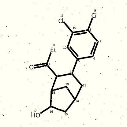 CCC(=O)C1C(c2ccc(Cl)c(Cl)c2)CC2CC(O)C1C2